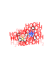 Bc1c(O)c(B)c(-c2nc(-c3c(O)c(O)c(O)c(O)c3O)nc(-c3c(O)c(O)c(O)c(-c4c(O)c(O)c(O)c5c4sc4c(-c6c(B)c(O)c(B)c(O)c6O)c(O)c(B)c(O)c45)c3O)n2)c(O)c1O